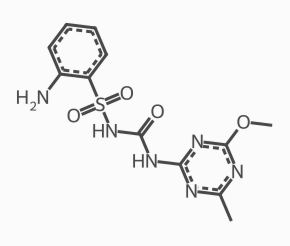 COc1nc(C)nc(NC(=O)NS(=O)(=O)c2ccccc2N)n1